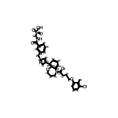 Cc1c(Cl)cccc1OCCCC(=O)N1CCCOc2c(-c3cnn(Cc4cccc(C(=O)NCS(=O)(=O)O)c4)c3)cccc21